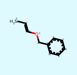 [SiH3]C=COCc1ccccc1